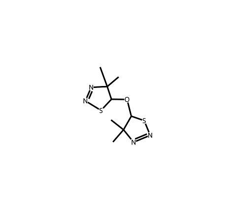 CC1(C)N=NSC1OC1SN=NC1(C)C